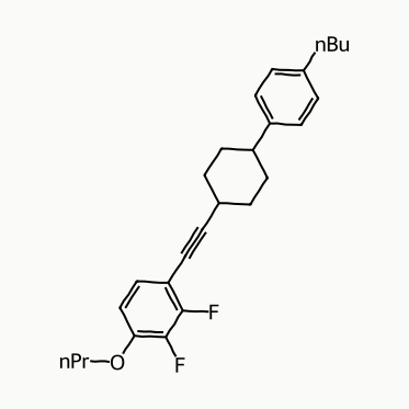 CCCCc1ccc(C2CCC(C#Cc3ccc(OCCC)c(F)c3F)CC2)cc1